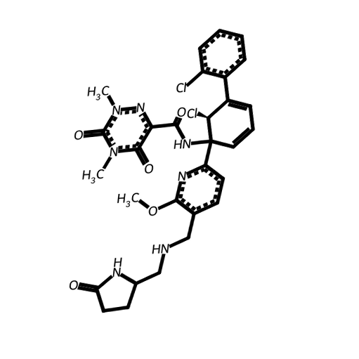 COc1nc(C2(NC(=O)c3nn(C)c(=O)n(C)c3=O)C=CC=C(c3ccccc3Cl)[C@@H]2Cl)ccc1CNCC1CCC(=O)N1